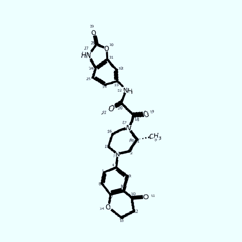 C[C@@H]1CN(c2ccc3c(c2)C(=O)CCO3)CCN1C(=O)C(=O)Nc1ccc2[nH]c(=O)oc2c1